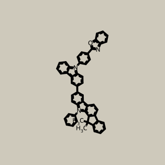 CC1(C)c2ccccc2-c2ccc3c4cc(-c5ccc6c(c5)c5ccccc5n6-c5ccc(-c6nc7ccccc7o6)cc5)ccc4n(-c4ccccc4)c3c21